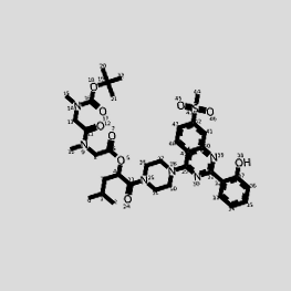 CC(C)CC(OC(=O)CN(C)C(=O)CN(C)C(=O)OC(C)(C)C)C(=O)N1CCN(c2nc(-c3ccccc3O)nc3cc(S(C)(=O)=O)ccc23)CC1